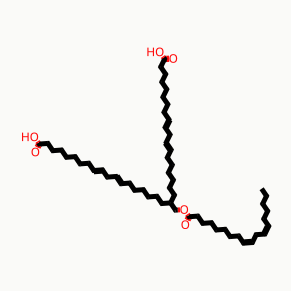 CCCCC/C=C\C/C=C\CCCCCCCC(=O)OCC(CCCCCCC=CCC=CCCCCCCCC(=O)O)CCCCCCC=CCC=CCCCCCCCC(=O)O